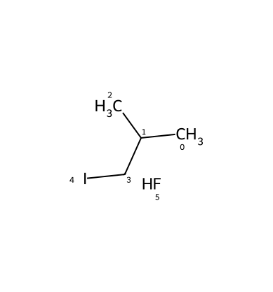 CC(C)CI.F